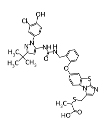 CC(SCc1cnc2sc3cc(Oc4ccccc4CNC(=O)Nc4cc(C(C)(C)C)nn4-c4ccc(O)c(Cl)c4)ccc3n12)C(=O)O